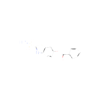 NS(=O)(=O)c1nc2ccc(OC(=O)c3ccccc3)cc2s1